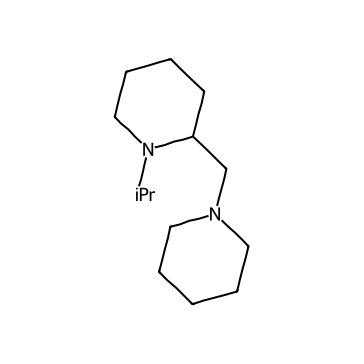 CC(C)N1CCCCC1CN1CCCCC1